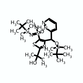 CC(C)(O)c1nc(C(O[Si](C)(C)C(C)(C)C)c2cccnn2)c(S(N)(=O)=N[Si](C)(C)C(C)(C)C)s1